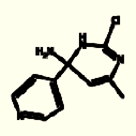 CC1=CC(N)(c2ccncc2)NC(Cl)=N1